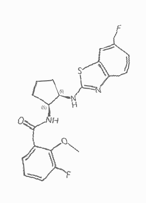 COc1c(F)cccc1C(=O)N[C@H]1CCC[C@H]1Nc1nc2ccc(F)cc2s1